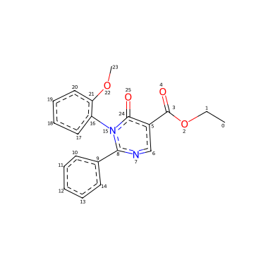 CCOC(=O)c1cnc(-c2ccccc2)n(-c2ccccc2OC)c1=O